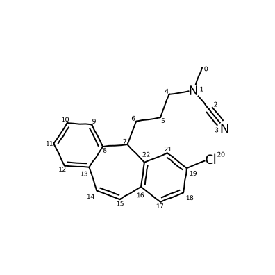 CN(C#N)CCCC1c2ccccc2C=Cc2ccc(Cl)cc21